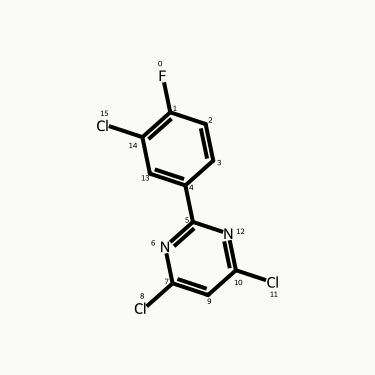 Fc1ccc(-c2nc(Cl)cc(Cl)n2)cc1Cl